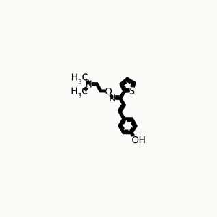 CN(C)CCON=C(C=Cc1ccc(O)cc1)c1cccs1